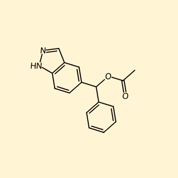 CC(=O)OC(c1ccccc1)c1ccc2[nH]ncc2c1